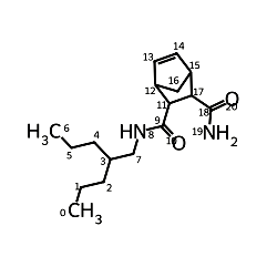 CCCC(CCC)CNC(=O)C1C2C=CC(C2)C1C(N)=O